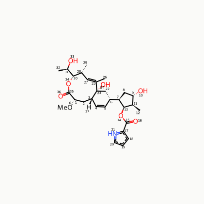 CO[C@H]1C[C@H]2C=C[C@@H]([C@H]3C[C@H](O)[C@@H](C)[C@H]3OC(=O)c3ccc[nH]3)C[C@]2(O)/C(C)=C/[C@@H](C)[C@@H]([C@@H](C)O)OC1=O